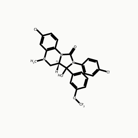 CN1C[C@@H]2N(C(=O)N(c3ccc(Cl)cc3)C2(O)c2cccc(OC(F)(F)F)c2)c2ccc(Cl)cc21